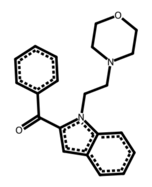 O=C(c1ccccc1)c1cc2ccccc2n1CCN1CCOCC1